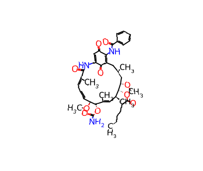 CCCCCC(=O)O[C@H]1[C@@H](OC)C[C@H](C)CC2=C(NC(=O)c3ccccc3)C(=O)C=C(NC(=O)/C(C)=C/C=C\[C@H](OC)[C@@H](OC(N)=O)/C(C)=C/[C@@H]1C)C2=O